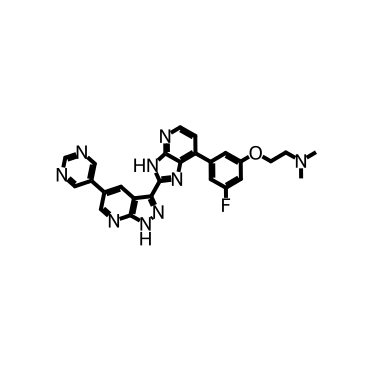 CN(C)CCOc1cc(F)cc(-c2ccnc3[nH]c(-c4n[nH]c5ncc(-c6cncnc6)cc45)nc23)c1